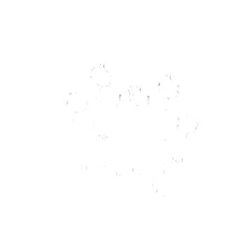 CC(C)CCNC1CCc2c(cccc2Oc2ccncc2C(N)=O)C1.CC(C)CCNC1CCc2cccc(Oc3ccncc3C(N)=O)c2C1